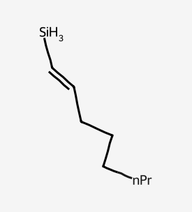 CCCCCCC=C[SiH3]